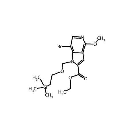 CCOC(=O)c1cc2c(OC)ncc(Br)c2n1COCC[Si](C)(C)C